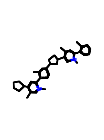 Cc1cc(C2CCC(c3c[n+](C)c(-c4ccccc4C)cc3C)C2)ccc1-c1cc(C2CCCC2)c(C)c[n+]1C